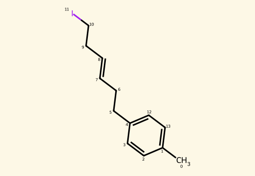 Cc1ccc(CCC=CCCI)cc1